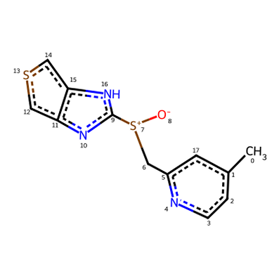 Cc1ccnc(C[S+]([O-])c2nc3cscc3[nH]2)c1